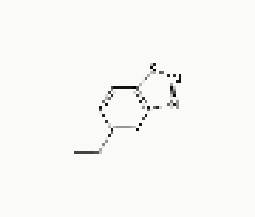 CCc1ccc2snnc2c1